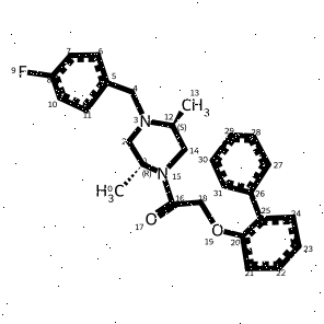 C[C@@H]1CN(Cc2ccc(F)cc2)[C@@H](C)CN1C(=O)COc1ccccc1-c1ccccc1